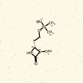 CC(=O)O[C@H]1C(=O)N[C@@H]1CCO[Si](C)(C)C(C)(C)C